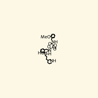 COc1ccccc1CNC(=O)[C@@H]1OCO[C@H]1C(=O)N[C@@H](Cc1ccccc1OCCCC1CCCNC1)C(=O)O